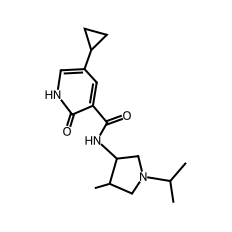 CC1CN(C(C)C)CC1NC(=O)c1cc(C2CC2)c[nH]c1=O